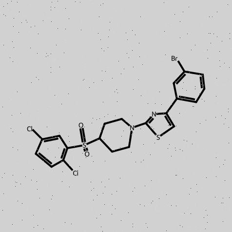 O=S(=O)(c1cc(Cl)ccc1Cl)C1CCN(c2nc(-c3cccc(Br)c3)cs2)CC1